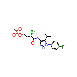 CC(C)c1c(NC(=O)C(Br)CCOS(C)(=O)=O)cnn1-c1ccc(F)cc1